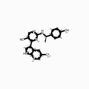 C[C@@H](Nc1ncc(C#N)c(-c2c[nH]c3ncc(C(F)(F)F)cc23)n1)c1ccc(O)cc1